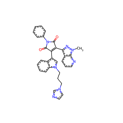 Cn1nc(C2=C(c3cn(CCCn4ccnc4)c4ccccc34)C(=O)N(c3ccccc3)C2=O)c2cccnc21